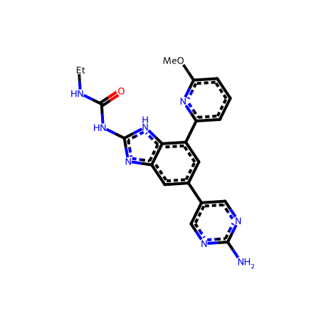 CCNC(=O)Nc1nc2cc(-c3cnc(N)nc3)cc(-c3cccc(OC)n3)c2[nH]1